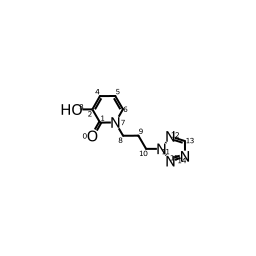 O=c1c(O)cccn1CCCn1ncnn1